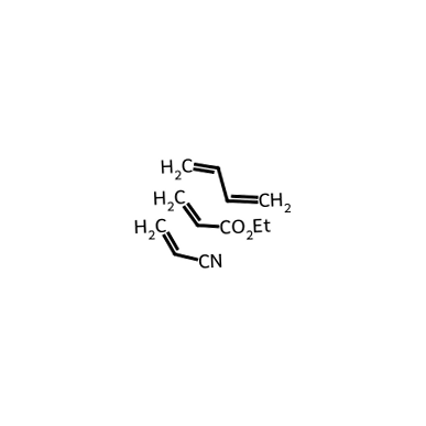 C=CC#N.C=CC(=O)OCC.C=CC=C